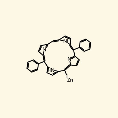 Ic1c2nc(c(-c3ccccc3)c3ccc(cc4nc(c(-c5ccccc5)c5ccc1[nH]5)C=C4)[nH]3)C=C2.[Zn]